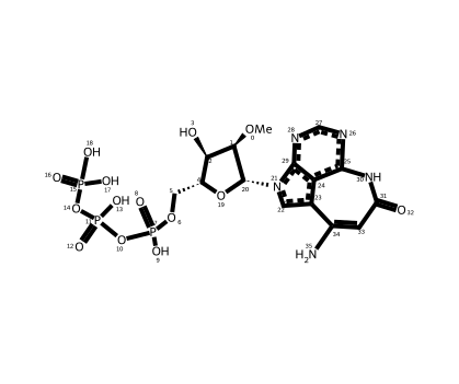 CO[C@@H]1[C@H](O)[C@@H](COP(=O)(O)OP(=O)(O)OP(=O)(O)O)O[C@H]1n1cc2c3c(ncnc31)NC(=O)C=C2N